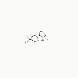 CC(C)C1(C)CCC2C(CCC3C(C)(C(=O)O)CCCC23C)C1